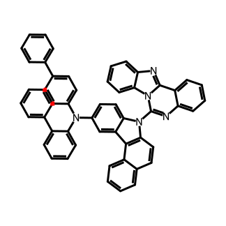 c1ccc(-c2ccc(N(c3ccc4c(c3)c3c5ccccc5ccc3n4-c3nc4ccccc4c4nc5ccccc5n34)c3ccccc3-c3ccccc3)cc2)cc1